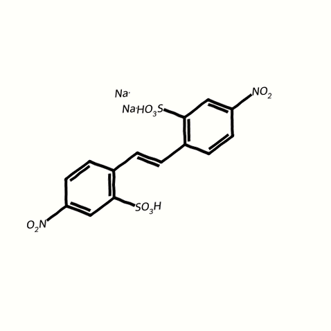 O=[N+]([O-])c1ccc(C=Cc2ccc([N+](=O)[O-])cc2S(=O)(=O)O)c(S(=O)(=O)O)c1.[Na].[Na]